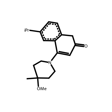 COC1(C)CCN(C2=CC(=O)Cc3ccc(C(C)C)cc32)CC1